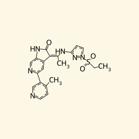 CCS(=O)(=O)n1ccc(N/C(C)=C2\C(=O)Nc3cnc(-c4cnccc4C)cc32)n1